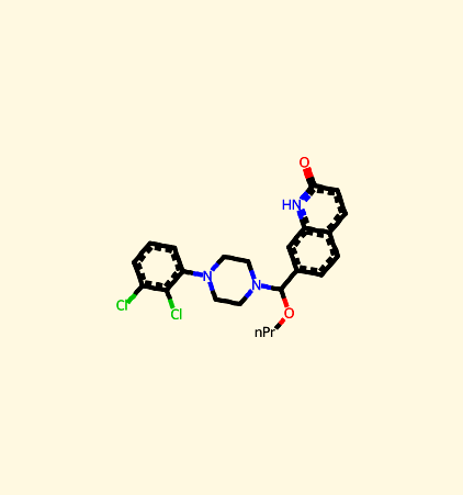 CCCOC(c1ccc2ccc(=O)[nH]c2c1)N1CCN(c2cccc(Cl)c2Cl)CC1